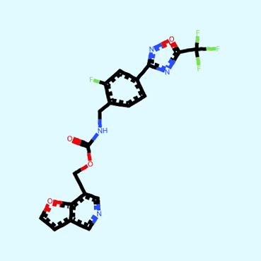 O=C(NCc1ccc(-c2noc(C(F)(F)F)n2)cc1F)OCc1cncc2ccoc12